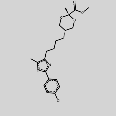 COC(=O)[C@]1(C)OC[C@H](CCCCc2nc(-c3ccc(Cl)cc3)oc2C)CO1